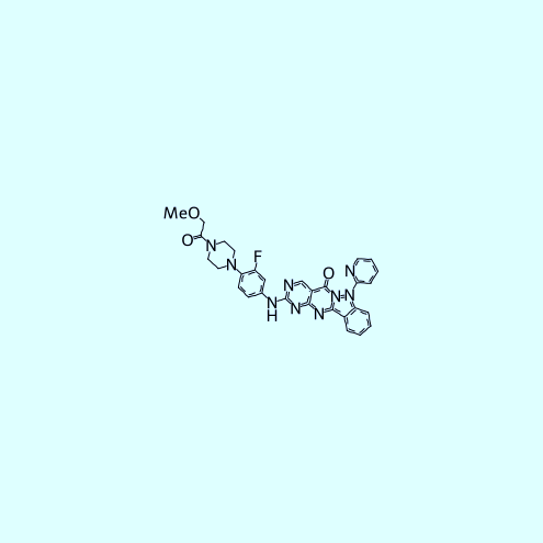 COCC(=O)N1CCN(c2ccc(Nc3ncc4c(=O)n5c(nc4n3)c3ccccc3n5-c3ccccn3)cc2F)CC1